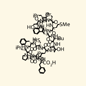 CC[C@H](C)[C@H](NC(=O)[C@H](Cc1c[nH]c2ccccc12)NC(=O)[C@H](CCSC)NC(=O)[C@H](CC(C)C)NC(=O)[C@H](CC(C)C)NC(=O)[C@@H](N)CO)C(=O)N[C@H](C(=O)N[C@@H](CCC(N)=O)C(=O)N[C@@H](CS)C(=O)N[C@@H](Cc1ccccc1)C(=O)N[C@@H](CC(C)C)C(=O)N1CCC[C@H]1C(=O)N[C@H](C(=O)N[C@@H](Cc1ccccc1)C(=O)O)C(C)C)C(C)O